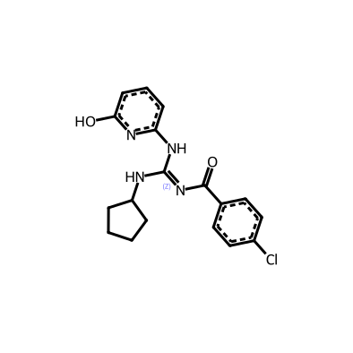 O=C(/N=C(\Nc1cccc(O)n1)NC1CCCC1)c1ccc(Cl)cc1